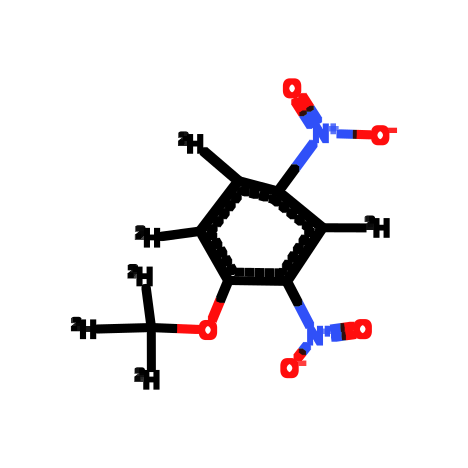 [2H]c1c([2H])c([N+](=O)[O-])c([2H])c([N+](=O)[O-])c1OC([2H])([2H])[2H]